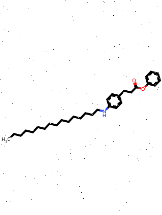 CCCCCCCCCCCCCCCCNc1ccc(CCC(=O)Oc2ccccc2)cc1